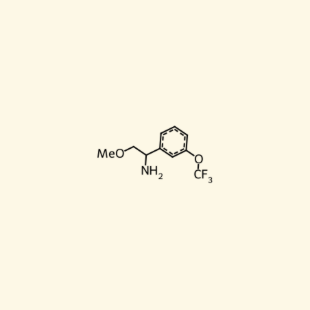 COCC(N)c1cccc(OC(F)(F)F)c1